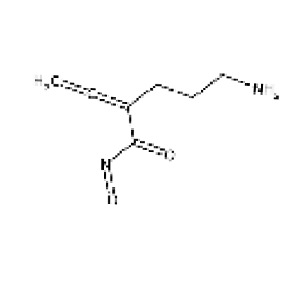 C=C=C(CCCN)C(=O)N=O